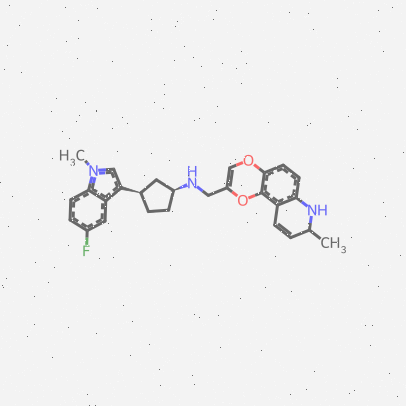 CC1C=Cc2c(ccc3c2OC(CN[C@H]2CC[C@@H](c4cn(C)c5ccc(F)cc45)C2)=CO3)N1